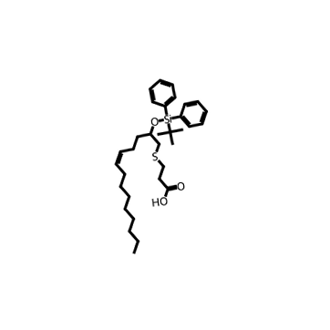 CCCCCCCC/C=C\CCC(CSCCC(=O)O)O[Si](c1ccccc1)(c1ccccc1)C(C)(C)C